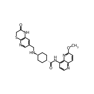 COc1ccc2nccc(NC(=O)[C@H]3CC[C@H](NCc4cnc5c(c4)NC(=O)CS5)CC3)c2n1